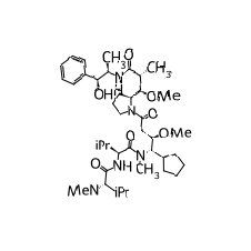 CN[C@H](C(=O)N[C@H](C(=O)N(C)[C@@H](C1CCCC1)[C@@H](CC(=O)N1CCC[C@H]1[C@H](OC)[C@@H](C)C(=O)N[C@H](C)[C@@H](O)c1ccccc1)OC)C(C)C)C(C)C